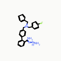 NN/N=C(\N)c1ccccc1-c1ccc(CN(Cc2ccccc2)Cc2ccc(F)cc2)cc1